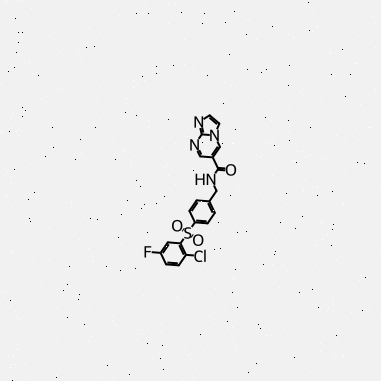 O=C(NCc1ccc(S(=O)(=O)c2cc(F)ccc2Cl)cc1)c1cnc2nccn2c1